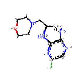 CC(CN1CCOCC1)Nc1nc(Br)cnc1N